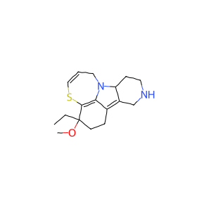 CCC1(OC)CCC2=C3CNCCC3N3CC=CSC1=C23